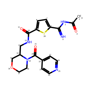 N=C(NC(=O)C(F)(F)F)c1ccc(C(=O)NCC2COCCN2C(=O)c2ccncc2)s1